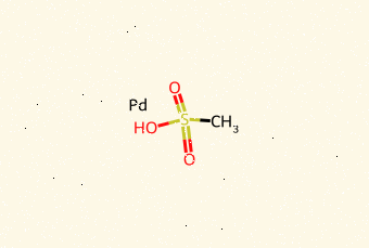 CS(=O)(=O)O.[Pd]